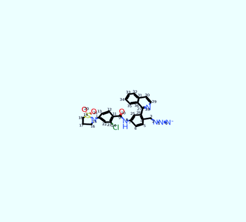 [N-]=[N+]=NCc1ccc(NC(=O)c2ccc(N3CCCS3(=O)=O)cc2Cl)cc1-c1nccc2ccccc12